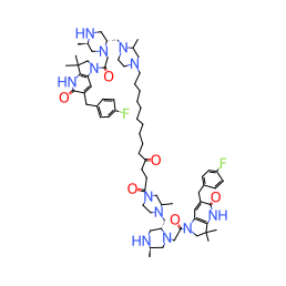 CC1CN(CCCCCCCCCCC(=O)CCC(=O)N2CCN(C[C@H]3CN[C@H](C)CN3CC(=O)N3CC(C)(C)c4[nH]c(=O)c(Cc5ccc(F)cc5)cc43)C(C)C2)CCN1C[C@H]1CN[C@H](C)CN1CC(=O)N1CC(C)(C)c2[nH]c(=O)c(Cc3ccc(F)cc3)cc21